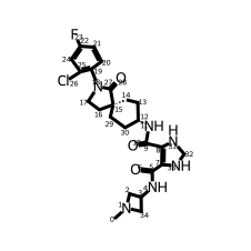 CN1CC(NC(=O)C2=C(C(=O)N[C@H]3CC[C@@]4(CCN(c5ccc(F)cc5Cl)C4=O)CC3)NCN2)C1